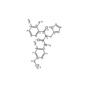 CN(C(=O)N(Cc1ccco1)C(=O)c1cccc(F)c1F)c1ccc(SC(F)(F)F)cc1F